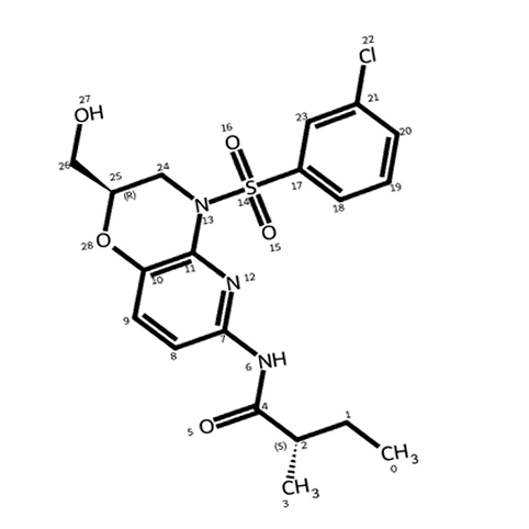 CC[C@H](C)C(=O)Nc1ccc2c(n1)N(S(=O)(=O)c1cccc(Cl)c1)C[C@H](CO)O2